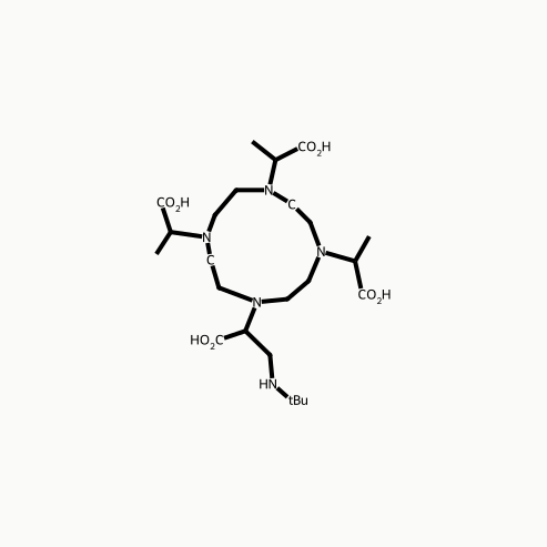 CC(C(=O)O)N1CCN(C(C)C(=O)O)CCN(C(CNC(C)(C)C)C(=O)O)CCN(C(C)C(=O)O)CC1